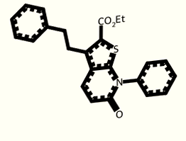 CCOC(=O)c1sc2c(ccc(=O)n2-c2ccccc2)c1CCc1ccccc1